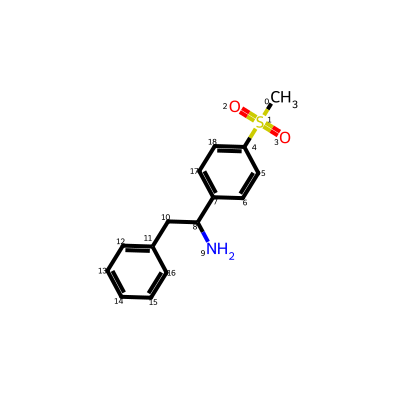 CS(=O)(=O)c1ccc(C(N)Cc2ccccc2)cc1